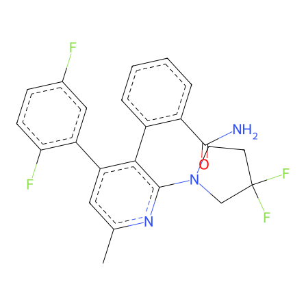 Cc1cc(-c2cc(F)ccc2F)c(-c2ccccc2C(N)=O)c(N2CCC(F)(F)C2)n1